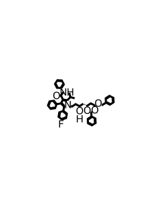 CC(C)c1c(C(=O)Nc2ccccc2)c(-c2ccccc2)c(-c2ccc(F)cc2)n1CC[C@@H](O)C[C@H](CC(=O)OCc1ccccc1)OCc1ccccc1